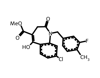 COC(=O)C1=C(O)c2ccc(Cl)cc2N(Cc2ccc(C)c(F)c2)C(=O)C1